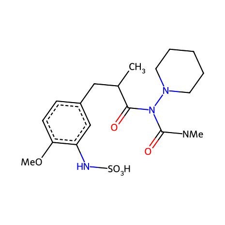 CNC(=O)N(C(=O)C(C)Cc1ccc(OC)c(NS(=O)(=O)O)c1)N1CCCCC1